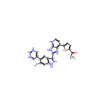 CC(=O)c1ccc(-c2ccnc3[nH]c(-c4n[nH]c5cc(F)c(-c6cncnc6)cc45)nc23)s1